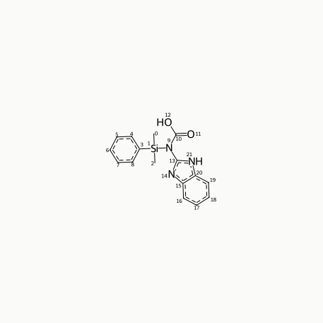 C[Si](C)(c1ccccc1)N(C(=O)O)c1nc2ccccc2[nH]1